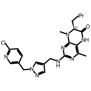 Cc1nc(NCc2cnn(Cc3ccc(Cl)nc3)c2)nc2c1NC(=O)[C@H](CC(C)C)N2C